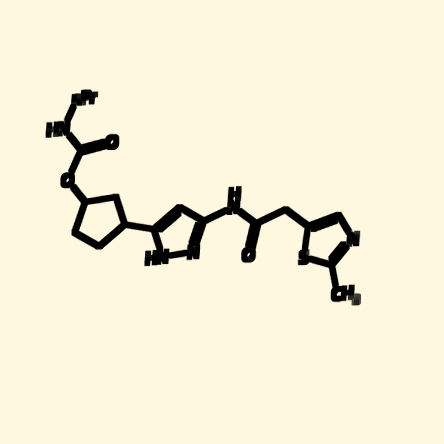 CCCNC(=O)OC1CCC(c2cc(NC(=O)Cc3cnc(C)s3)n[nH]2)C1